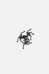 CC(C)CCC[C@H](C)CCOc1cc(C(=O)Nc2cc(NC(=O)c3cc(OCC[C@@H](C)CCCC(C)C)c(OCC[C@@H](C)CCCC(C)C)c(OCC[C@@H](C)CCCC(C)C)c3)cc(NC(=O)c3cc(OCC[C@@H](C)CCCC(C)C)c(OCC[C@@H](C)CCCC(C)C)c(OCC[C@@H](C)CCCC(C)C)c3)c2)cc(OCC[C@@H](C)CCCC(C)C)c1OCC[C@@H](C)CCCC(C)C